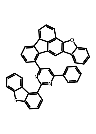 c1ccc(-c2cc(-c3cccc4c3-c3cc5c6ccccc6oc5c5cccc-4c35)nc(-c3cccc4sc5ccccc5c34)n2)cc1